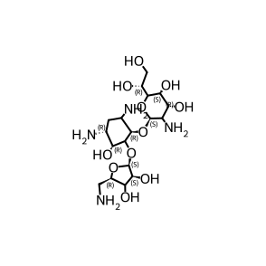 NC[C@H]1O[C@@H](OC2[C@H](O[C@H]3OC([C@H](O)CO)[C@@H](O)[C@H](O)C3N)C(N)C[C@@H](N)[C@H]2O)[C@@H](O)C1O